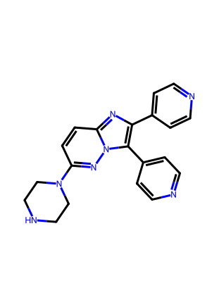 c1cc(-c2nc3ccc(N4CCNCC4)nn3c2-c2ccncc2)ccn1